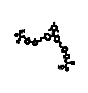 Cc1cc(C)c(N(c2ccc(/C=C/c3ccc(-c4ccc(/C=C(\C#N)C(=O)O)s4)s3)cc2)c2ccc(/C=C/c3ccc(-c4ccc(/C=C(\C#N)C(=O)O)s4)s3)cc2)c(C)c1